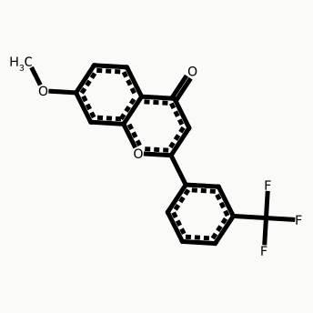 COc1ccc2c(=O)cc(-c3cccc(C(F)(F)F)c3)oc2c1